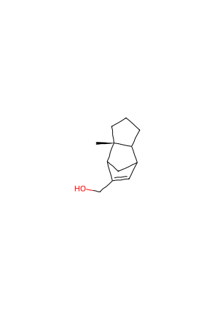 C[C@@]12CCCC1C1C=C(CO)C2C1